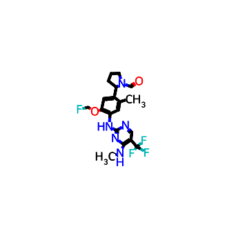 CNc1nc(Nc2cc(C)c(C3CCCN3C=O)cc2OCF)ncc1C(F)(F)F